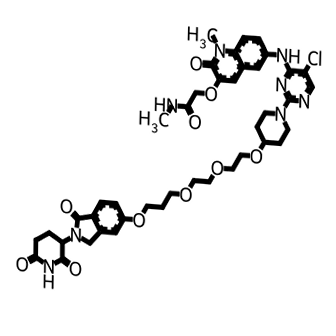 CNC(=O)COc1cc2cc(Nc3nc(N4CCC(OCCOCCOCCCOc5ccc6c(c5)CN(C5CCC(=O)NC5=O)C6=O)CC4)ncc3Cl)ccc2n(C)c1=O